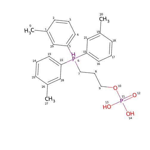 Cc1cccc([PH](CCCOP(=O)(O)O)(c2cccc(C)c2)c2cccc(C)c2)c1